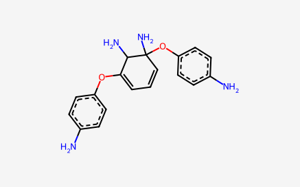 Nc1ccc(OC2=CC=CC(N)(Oc3ccc(N)cc3)C2N)cc1